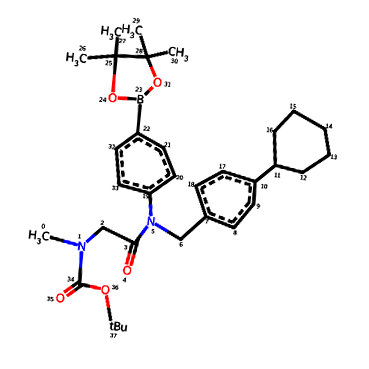 CN(CC(=O)N(Cc1ccc(C2CCCCC2)cc1)c1ccc(B2OC(C)(C)C(C)(C)O2)cc1)C(=O)OC(C)(C)C